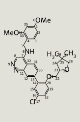 COc1ccc(CNc2cnnc3cc(-c4cc(Cl)ccc4OCC4CC(C)(C)CO4)ccc23)c(OC)c1